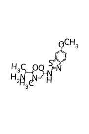 COc1ccc2nc(NC(=O)CN(C)C(=O)[C@H](C)N)sc2c1